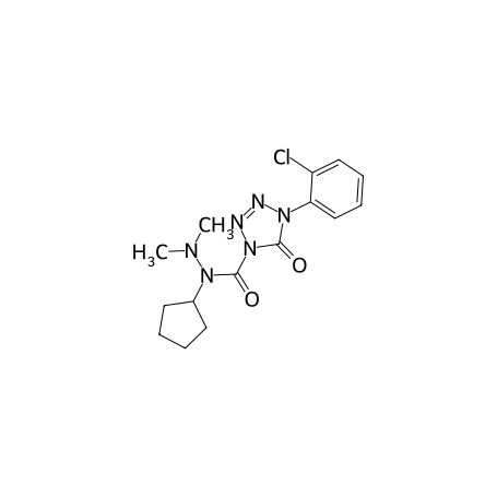 CN(C)N(C(=O)n1nnn(-c2ccccc2Cl)c1=O)C1CCCC1